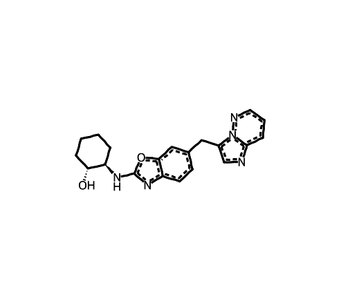 O[C@@H]1CCCC[C@H]1Nc1nc2ccc(Cc3cnc4cccnn34)cc2o1